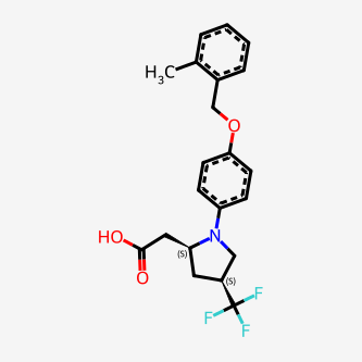 Cc1ccccc1COc1ccc(N2C[C@@H](C(F)(F)F)C[C@H]2CC(=O)O)cc1